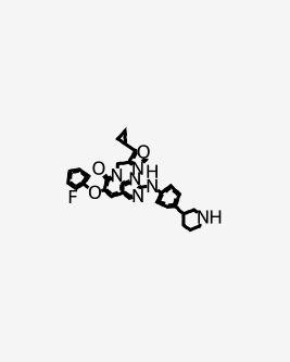 O=c1c(Oc2ccccc2F)cc2cnc(Nc3ccc(C4CCCNC4)cc3)nc2n1Cc1ncoc1C1CC1